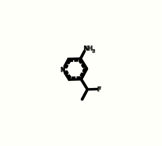 CC(F)c1cncc(N)c1